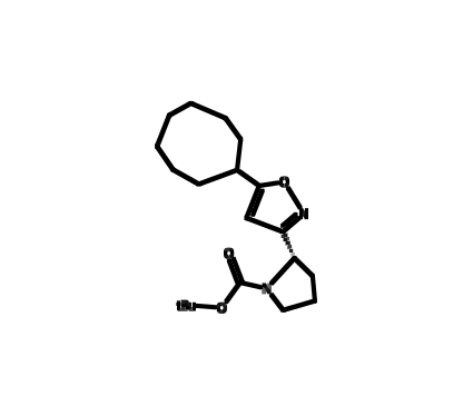 CC(C)(C)OC(=O)N1CCC[C@H]1c1cc(C2CCCCCCC2)on1